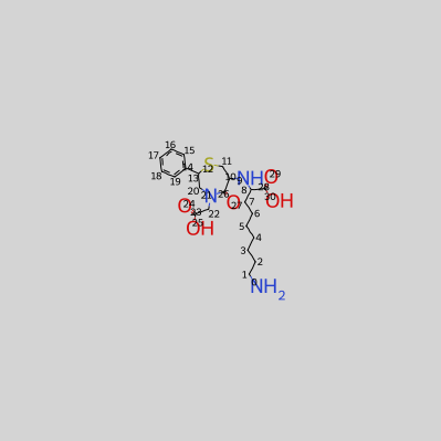 NCCCCCCCC(NC1CSC(c2ccccc2)CN(CC(=O)O)C1=O)C(=O)O